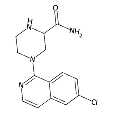 NC(=O)C1CN(c2nccc3cc(Cl)ccc23)CCN1